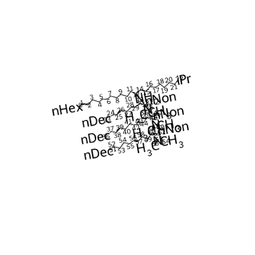 CCCCCCC=CCCCCCCCCCC(N)CCCCCCCCC(C)C.CCCCCCCCCCCC=CCCCCC(CCCCCCCCC)N(C)C.CCCCCCCCCCCC=CCCCCCCC(CCCCCCCCC)N(C)C.CCCCCCCCCCCCCCC=CCCCC(CCCCCCCCC)N(C)C